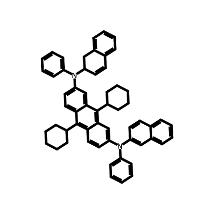 C1=CC(N(c2ccccc2)c2ccc3c(C4CCCCC4)c4ccc(N(c5ccccc5)c5ccc6ccccc6c5)cc4c(C4CCCCC4)c3c2)Cc2ccccc21